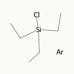 CC[Si](Cl)(CC)CC.[Ar]